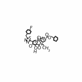 CCN1C(=O)c2c(O)c(=O)c(-c3nnc(Cc4ccc(F)cc4)s3)cn2N(C)C12CCN(C(=O)OCc1ccccc1)CC2